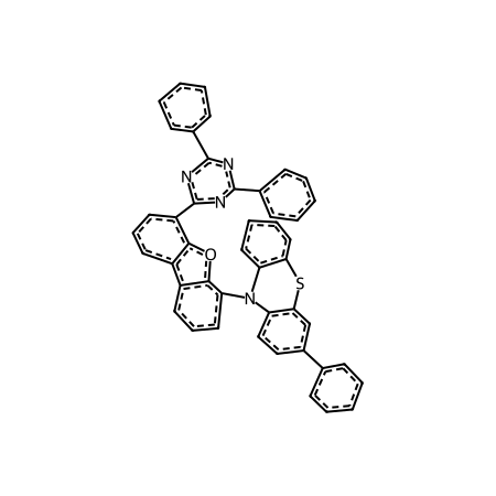 c1ccc(-c2ccc3c(c2)Sc2ccccc2N3c2cccc3c2oc2c(-c4nc(-c5ccccc5)nc(-c5ccccc5)n4)cccc23)cc1